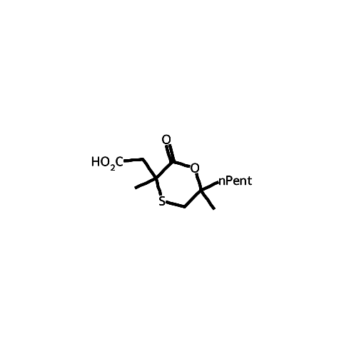 CCCCCC1(C)CSC(C)(CC(=O)O)C(=O)O1